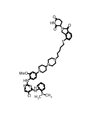 COc1cc(N2CCC(N3CCN(CCCCCSc4cccc5c4CN(C4CCC(=O)NC4=O)C5=O)CC3)CC2)ccc1Nc1ncc(Cl)c(Nc2ccccc2P(C)C)n1